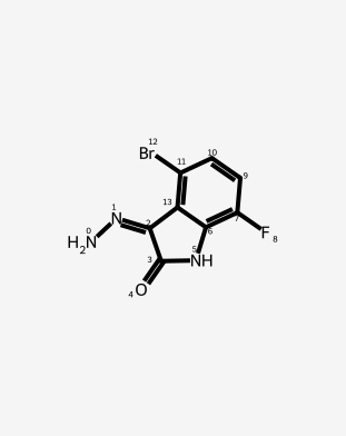 NN=C1C(=O)Nc2c(F)ccc(Br)c21